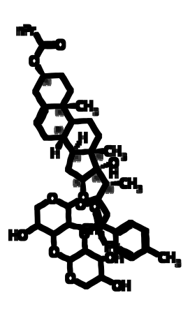 CCCC(=O)O[C@H]1CC[C@@]2(C)C(=CC[C@@H]3C2CC[C@@]2(C)[C@H]3C[C@H](OC3OCC(O)C(OC4OCC(O)C(O)C4OC(=O)c4ccc(C)cc4)C3C)[C@]2(O)[C@H](C)C(=O)CCC(C)C)C1